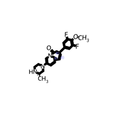 COc1c(F)cc(C2=C\C(=O)N3C=C(N4CCN[C@@H](C)C4)C=C\C3=C/C=C/2)cc1F